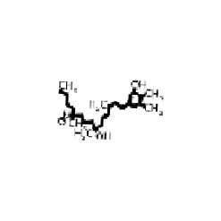 CCCCCC(C)(CCCC(C)(O)CCCC(C)CCC1=CC(O)C(C)C(C)C1)N=O